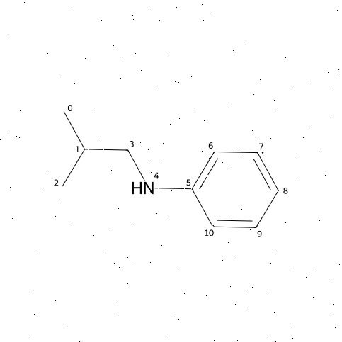 CC(C)CNc1c[c]ccc1